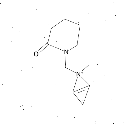 C[N+]1(CN2CCCCC2=O)C2=C1C2